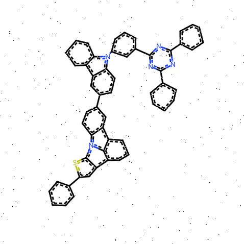 c1ccc(-c2nc(-c3ccccc3)nc(-c3cccc(-n4c5ccccc5c5cc(-c6ccc7c(c6)c6cccc8c9cc(-c%10ccccc%10)sc9n7c68)ccc54)c3)n2)cc1